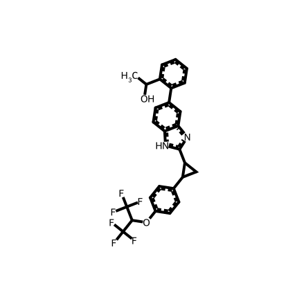 CC(O)c1ccccc1-c1ccc2[nH]c(C3CC3c3ccc(OC(C(F)(F)F)C(F)(F)F)cc3)nc2c1